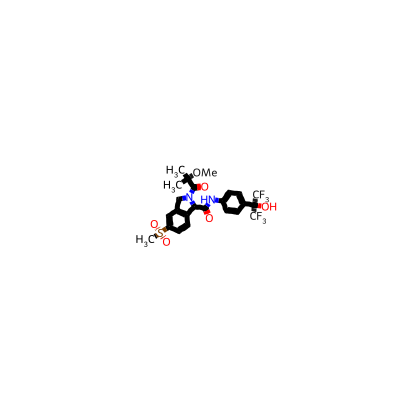 COC(C)(C)C(=O)N1Cc2cc(S(C)(=O)=O)ccc2C1C(=O)Nc1ccc(C(O)(C(F)(F)F)C(F)(F)F)cc1